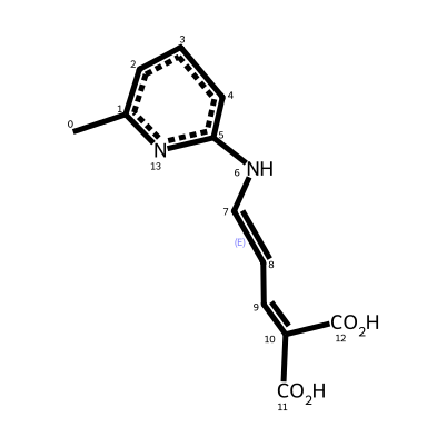 Cc1cccc(N/C=C/C=C(C(=O)O)C(=O)O)n1